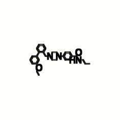 CCCNC(=O)c1ccc(N2CCN(Cc3ccccc3-c3cccc(OCC)c3)CC2)cc1